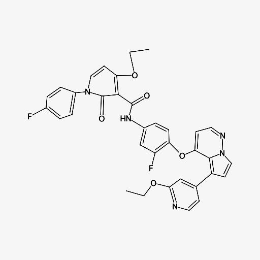 CCOc1cc(-c2ccn3nccc(Oc4ccc(NC(=O)c5c(OCC)ccn(-c6ccc(F)cc6)c5=O)cc4F)c23)ccn1